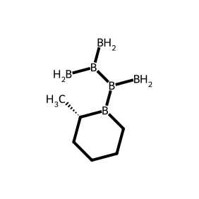 BB(B)B(B)B1CCCC[C@@H]1C